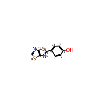 Oc1ccc(-c2nc3scnc3s2)cc1